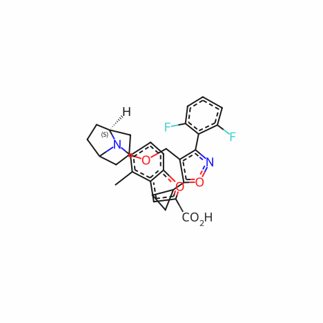 Cc1c(N2C3CC[C@H]2CC(OCc2c(-c4c(F)cccc4F)noc2C2CC2)C3)ccc2oc(C(=O)O)cc12